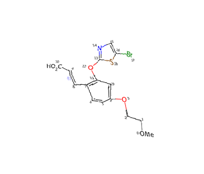 COCCOc1ccc(/C=C/C(=O)O)c(Oc2ncc(Br)s2)c1